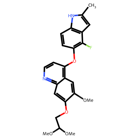 COc1cc2c(Oc3ccc4[nH]c(C)cc4c3F)ccnc2cc1OCC(OC)OC